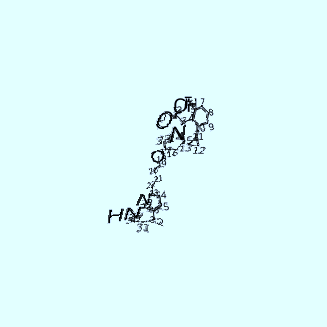 O=C(O)C(c1c(F)cccc1C1CC1)N1CC[C@@H](OCCCCc2ccc3c(n2)NCCC3)C1